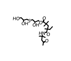 CCC(C)(CC(C)(C)C(=O)OCC(O)CSCC(O)CO)C(=O)NC(C)(C)CC(C)=O